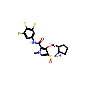 Cn1cc2c(c1C(=O)Nc1cc(F)c(F)c(F)c1)OCC1CCCC1N[S+]2[O-]